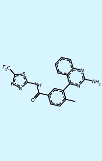 Cc1ccc(C(=O)Nc2nnc(C(F)(F)F)s2)cc1-c1nc(N)nc2ccccc12